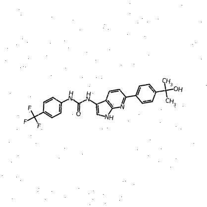 CC(C)(O)c1ccc(-c2ccc3c(NC(=O)Nc4ccc(C(F)(F)F)cc4)c[nH]c3n2)cc1